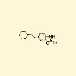 O=c1[nH]c2ccc(CCC3CCCCC3)cc2o1